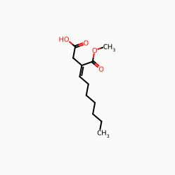 CCCCCC/C=C(/CC(=O)O)C(=O)OC